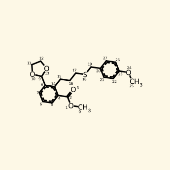 COC(=O)c1cccc(C2OCCO2)c1CCCSCc1ccc(OC)cc1